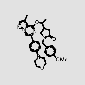 COc1ccc(CN2CC(C(C)Oc3nc(-c4ccc(N5CCOCC5)cc4)cn4ncc(C)c34)CC2=O)cc1